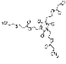 C=CC(=O)OCCn1c(=O)n(CCOC(=O)C=C)c(=O)n(CCOC(=O)CCSCCO)c1=O